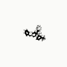 COC(=O)C1(Nc2cccc(C(F)(F)F)c2)CCN(Cc2ccccc2)CC1